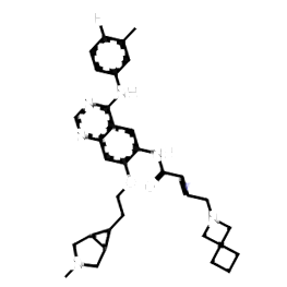 Cc1cc(Nc2ncnc3cc(OCCC4C5CN(C)CC45)c(NC(=O)/C=C/CN4CC5(CCC5)C4)cc23)ccc1F